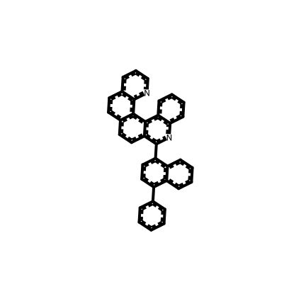 c1ccc(-c2ccc(-c3nc4ccccc4c4c3ccc3ccc5cccnc5c34)c3ccccc23)cc1